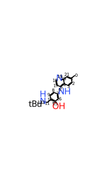 Cc1ccc2c(Nc3ccc(CNC(C)(C)C)c(O)c3)ccnc2c1